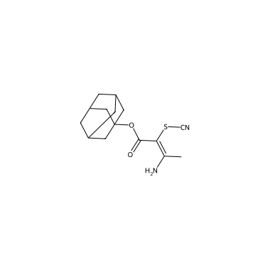 C/C(N)=C(\SC#N)C(=O)OC12CC3CC(CC(C3)C1)C2